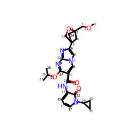 COCC12CC(c3cn4cc(C(=O)Nc5cccn(C6CC6)c5=O)c(OC(C)C)nc4n3)(CO1)C2